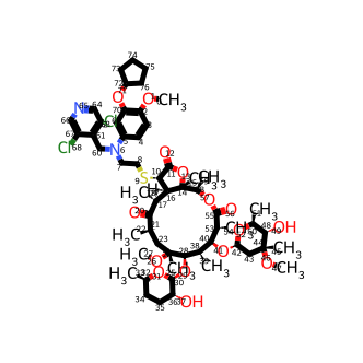 COc1ccc(N(CCS[C@@H]2C(=O)O[C@@]3(C)[C@H]2[C@@H](C)C(=O)[C@H](C)C[C@@](C)(OC)[C@H](O[C@@H]2O[C@H](C)CC[C@H]2O)[C@@H](C)[C@H](O[C@H]2C[C@@](C)(OC)[C@@H](O)[C@H](C)O2)[C@@H](C)C(=O)O[C@@H]3C)Cc2c(Cl)cncc2Cl)cc1OC1CCCC1